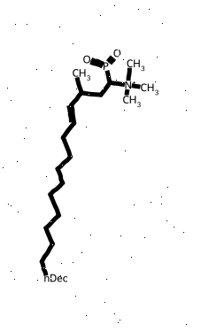 CCCCCCCCCCCCCCCCCCCC=CC(C)CC(P(=O)=O)[N+](C)(C)C